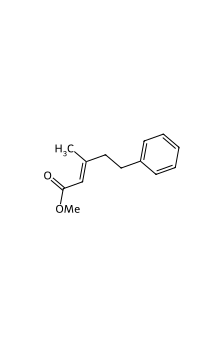 COC(=O)C=C(C)CCc1ccccc1